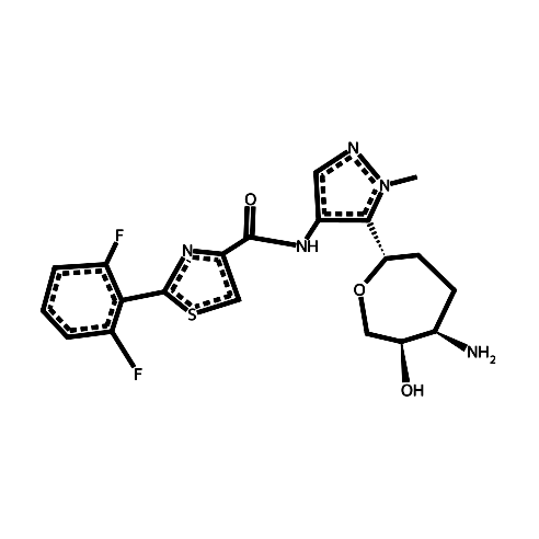 Cn1ncc(NC(=O)c2csc(-c3c(F)cccc3F)n2)c1[C@@H]1CC[C@@H](N)[C@@H](O)CO1